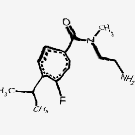 CC(C)c1ccc(C(=O)N(C)CCN)cc1F